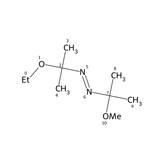 CCOC(C)(C)N=NC(C)(C)OC